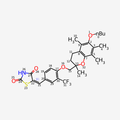 CCCCOc1c(C)c(C)c2c(c1C)CCC(C)(COc1ccc(/C=C3/SC(=O)NC3=O)cc1C(F)(F)F)O2